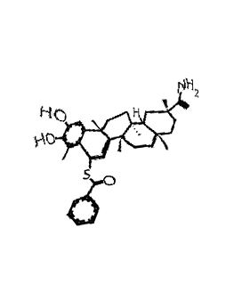 C=C(N)[C@]1(C)CC[C@]2(C)CC[C@]3(C)C4=CC(SC(=O)c5ccccc5)c5c(cc(O)c(O)c5C)[C@]4(C)CC[C@@]3(C)[C@@H]2C1